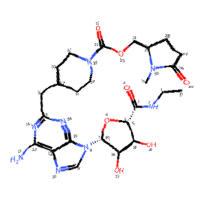 CCNC(=O)[C@H]1O[C@@H](n2cnc3c(N)nc(CC4CCN(C(=O)OCC5CCC(=O)N5C)CC4)nc32)C(O)C1O